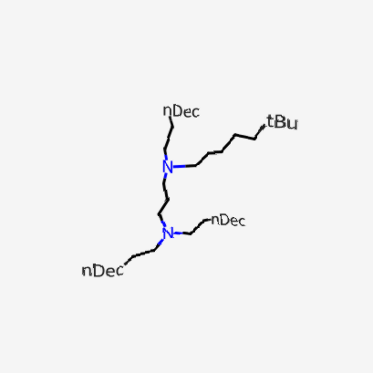 CCCCCCCCCCCCN(CCCCCCCCCCCC)CCCN(CCCCCCCCCCCC)CCCCCC(C)(C)C